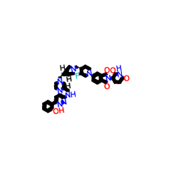 O=C1CCC(N2C(=O)c3ccc(N4CC[C@@H](CN5C[C@@H]6[C@H](C5)[C@H]6CN5CCN6c7cc(-c8ccccc8O)nnc7NC[C@H]6C5)[C@H](F)C4)cc3C2=O)C(=O)N1